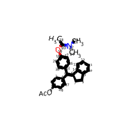 CC(=O)Oc1ccc(C(=C2CCc3ccccc32)c2ccc(OC(C)N(C)C)cc2)cc1